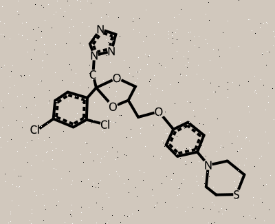 Clc1ccc(C2(Cn3cncn3)OCC(COc3ccc(N4CCSCC4)cc3)O2)c(Cl)c1